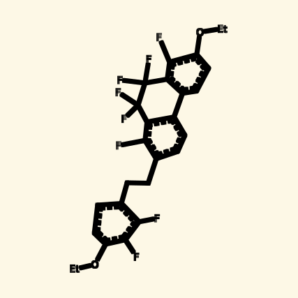 CCOc1ccc(CCc2ccc3c(c2F)C(F)(F)C(F)(F)c2c-3ccc(OCC)c2F)c(F)c1F